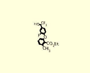 CCOC(=O)c1c(C)cccc1Oc1ccc(C(O)C(F)(F)F)cc1F